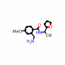 COc1ccc(C(=O)NC(C#N)c2ccco2)c(CN)c1